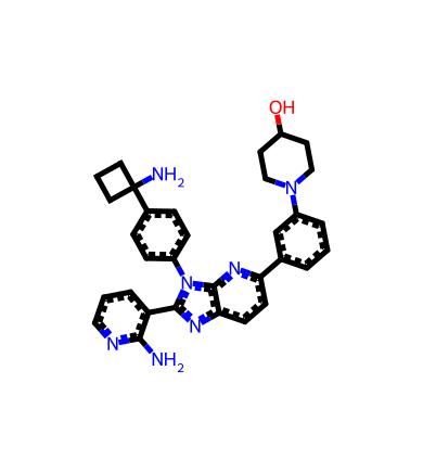 Nc1ncccc1-c1nc2ccc(-c3cccc(N4CCC(O)CC4)c3)nc2n1-c1ccc(C2(N)CCC2)cc1